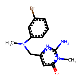 CN(Cc1cc(=O)n(C)c(N)n1)c1cccc(Br)c1